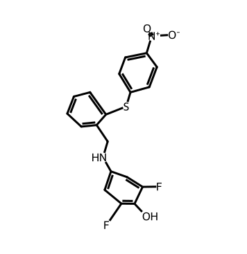 O=[N+]([O-])c1ccc(Sc2ccccc2CNc2cc(F)c(O)c(F)c2)cc1